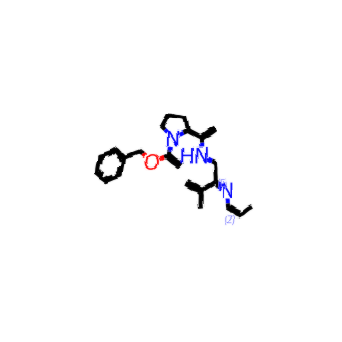 C=C(C)/C(CNC(=C)C1CCCN1C(=C)OCc1ccccc1)=N\C=C/C